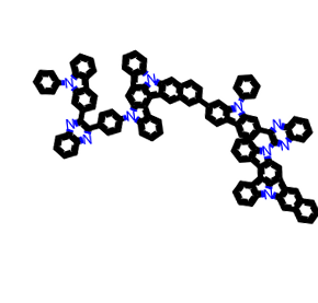 c1ccc(-n2c3ccccc3c3ccc(-c4nc5ccccc5nc4-c4ccc(-n5c6ccccc6c6c7c8cc9cc(-c%10ccc%11c%12ccc(-c%13nc%14ccccc%14nc%13-n%13c%14ccccc%14c%14c%15c%16ccccc%16n%16c%17cc%18ccccc%18cc%17c(cc%14%13)c%15%16)cc%12n(-c%12ccccc%12)c%11c%10)ccc9cc8n8c9ccccc9c(cc65)c78)cc4)cc32)cc1